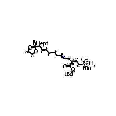 CCCCCCCC1(CCCCCC/C=C/C[C@@H](CC[Si](C)(C)C(C)(C)C)C(=O)OC(C)(C)C)OCCO1